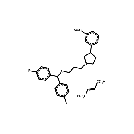 COc1cccc(C2CCN(CCCOC(c3ccc(F)cc3)c3ccc(F)cc3)C2)c1.O=C(O)C=CC(=O)O